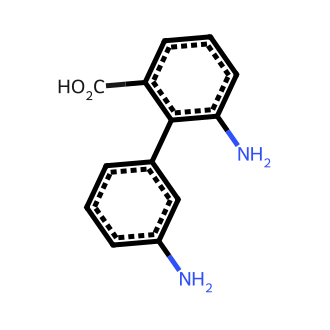 Nc1cccc(-c2c(N)cccc2C(=O)O)c1